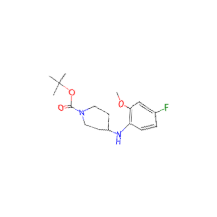 COc1cc(F)ccc1NC1CCN(C(=O)OC(C)(C)C)CC1